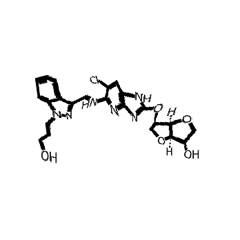 OCCCn1nc(CNc2nc3nc(O[C@@H]4CO[C@H]5[C@@H]4OC[C@H]5O)[nH]c3cc2Cl)c2ccccc21